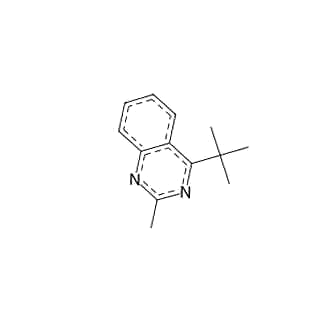 Cc1nc(C(C)(C)C)c2ccccc2n1